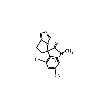 CN(C)C(=O)C1(c2ccc(C#N)cc2Cl)CCc2cncn21